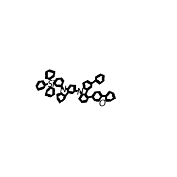 c1ccc(-c2ccc3c(c2)c2c(-c4ccc5c(c4)oc4ccccc45)cccc2n3-c2ccc3c(c2)c2ccccc2n3-c2cccc([Si](c3ccccc3)(c3ccccc3)c3ccccc3)c2)cc1